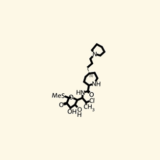 CSC1OC(C(NC(=O)C2CC[C@H](CCCN3CCCCC3)CCN2)C(C)Cl)C(O)C(O)C1=O